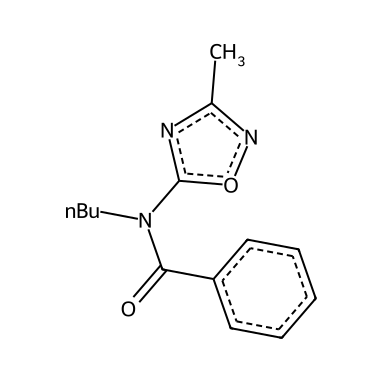 CCCCN(C(=O)c1ccccc1)c1nc(C)no1